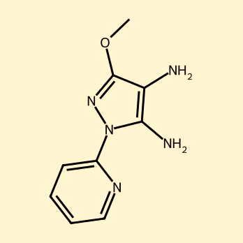 COc1nn(-c2ccccn2)c(N)c1N